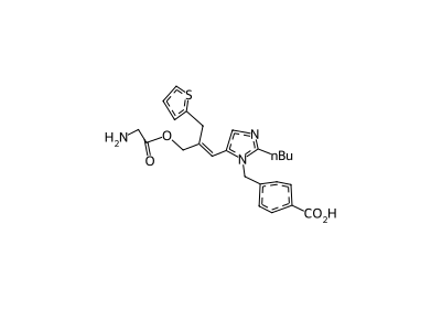 CCCCc1ncc(/C=C(/COC(=O)CN)Cc2cccs2)n1Cc1ccc(C(=O)O)cc1